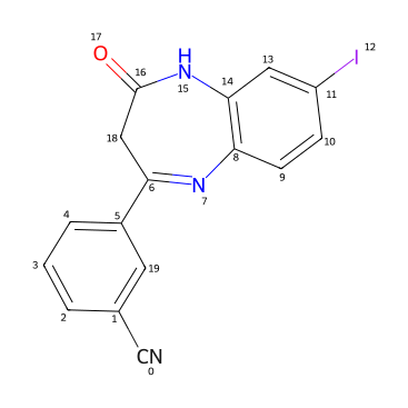 N#Cc1cccc(C2=Nc3ccc(I)cc3NC(=O)C2)c1